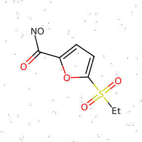 CCS(=O)(=O)c1ccc(C(=O)N=O)o1